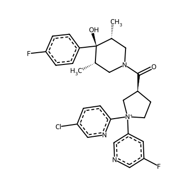 C[C@@H]1CN(C(=O)[C@H]2CC[N+](c3cncc(F)c3)(c3ccc(Cl)cn3)C2)C[C@H](C)[C@]1(O)c1ccc(F)cc1